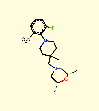 C[C@@H]1CN(CC2(C)CCN(c3c(F)cccc3[N+](=O)[O-])CC2)C[C@H](C)O1